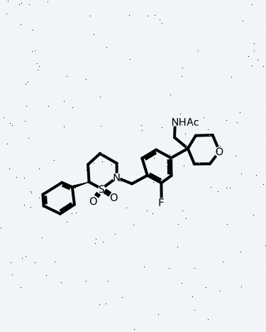 CC(=O)NCC1(c2ccc(CN3CCC[C@H](c4ccccc4)S3(=O)=O)c(F)c2)CCOCC1